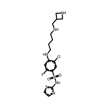 O=S(=O)(Nc1nccs1)c1cc(Cl)c(NCCCCNCC2CNC2)cc1F